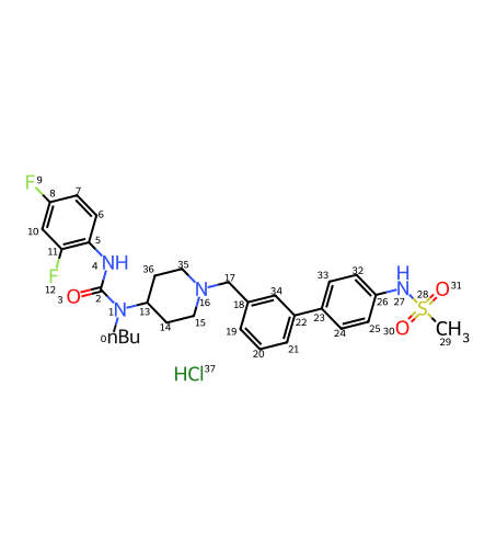 CCCCN(C(=O)Nc1ccc(F)cc1F)C1CCN(Cc2cccc(-c3ccc(NS(C)(=O)=O)cc3)c2)CC1.Cl